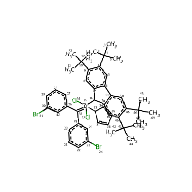 CC(C)(C)c1cc2c(cc1C(C)(C)C)[CH]([Zr]([Cl])([Cl])(=[C](c1cccc(Br)c1)c1cccc(Br)c1)[CH]1C=CC=C1)c1cc(C(C)(C)C)c(C(C)(C)C)cc1-2